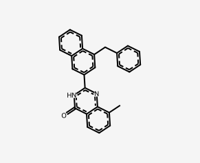 Cc1cccc2c(=O)[nH]c(-c3cc(Cc4ccccc4)c4ccccc4c3)nc12